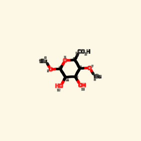 CC(C)(C)OC1OC(C(=O)O)C(OC(C)(C)C)C(O)C1O